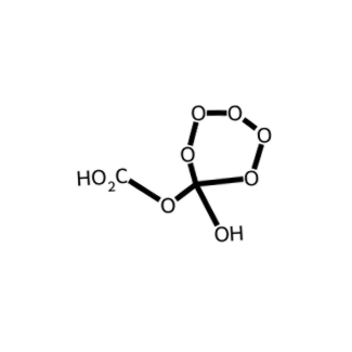 O=C(O)OC1(O)OOOOO1